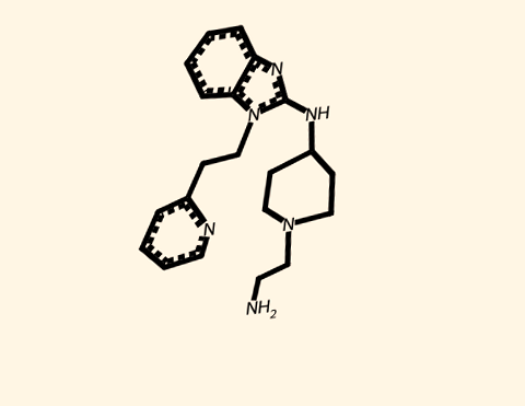 NCCN1CCC(Nc2nc3ccccc3n2CCc2ccccn2)CC1